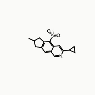 CC1Cc2cc3cnc(C4CC4)cc3c([SH](=O)=O)c2C1